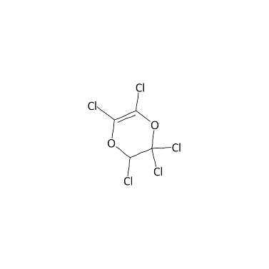 ClC1=C(Cl)OC(Cl)(Cl)C(Cl)O1